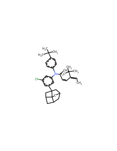 C/C=C(\C=C/C(C)N(c1ccc(C(C)(C)C)cc1)c1cc(Cl)cc(C23CC4CC5CC(C2)C53C4)c1)C(C)(C)C